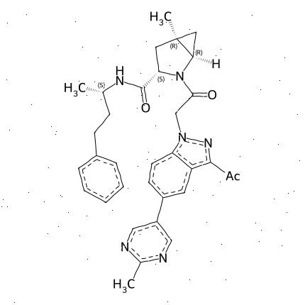 CC(=O)c1nn(CC(=O)N2[C@H](C(=O)N[C@@H](C)CCc3ccccc3)C[C@@]3(C)C[C@@H]23)c2ccc(-c3cnc(C)nc3)cc12